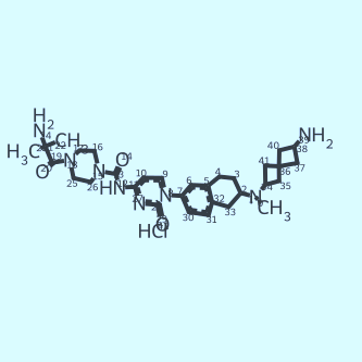 CN(C1CCc2cc(-n3ccc(NC(=O)N4CCN(C(=O)C(C)(C)N)CC4)nc3=O)ccc2C1)C1CC2(CC(N)C2)C1.Cl